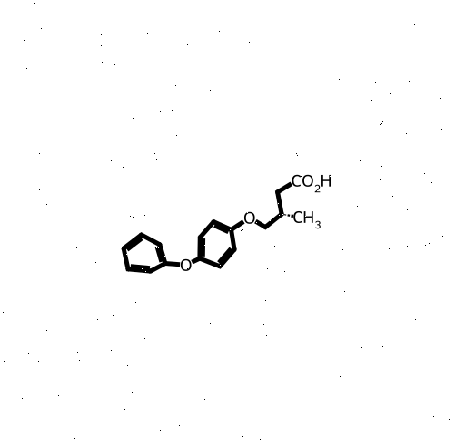 C[C@H](COc1ccc(Oc2ccccc2)cc1)CC(=O)O